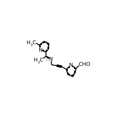 C/C(=N\CC#Cc1cccc(C=O)n1)c1cccc(C)n1